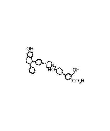 O=C(O)c1ccc(N2CCC(O)(CN3CCN(c4ccc([C@@H]5c6ccc(O)cc6CC[C@@H]5c5ccccc5)cc4)CC3)CC2)cc1CO